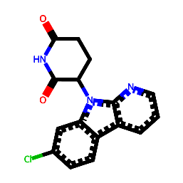 O=C1CCC(n2c3cc(Cl)ccc3c3cccnc32)C(=O)N1